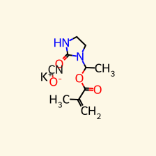 C=C(C)C(=O)OC(C)N1CCNC1=O.N#C[O-].[K+]